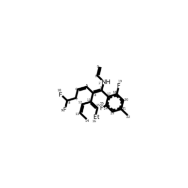 C=CN/C(=C(\C=C/CC(F)F)C(/C=C\C)=C/CC)c1c(F)cc(C)cc1F